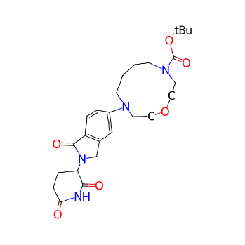 CC(C)(C)OC(=O)N1CCCCN(c2ccc3c(c2)CN(C2CCC(=O)NC2=O)C3=O)CCOCC1